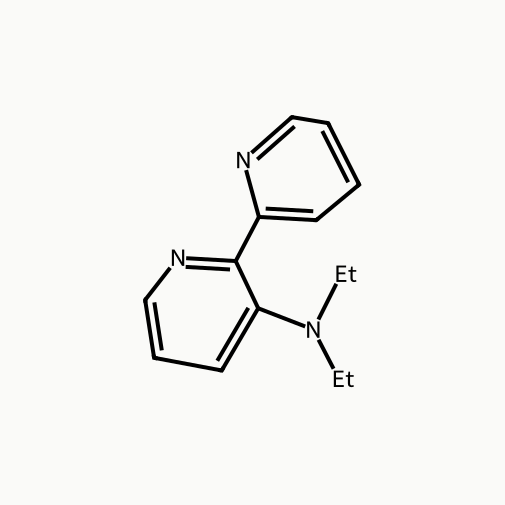 CCN(CC)c1cccnc1-c1ccccn1